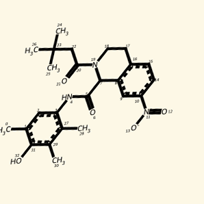 Cc1cc(NC(=O)C2c3cc([N+](=O)[O-])ccc3CCN2C(=O)CC(C)(C)C)c(C)c(C)c1O